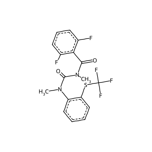 CN(C(=O)c1c(F)cccc1F)C(=O)N(C)c1ccccc1SC(F)(F)F